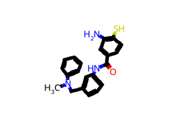 CN(Cc1cccc(NC(=O)c2ccc(S)c(N)c2)c1)c1ccccc1